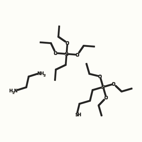 CCC[Si](OCC)(OCC)OCC.CCO[Si](CCCS)(OCC)OCC.NCCN